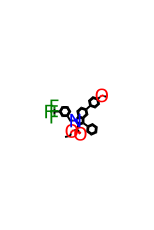 CCOC(=O)c1c(-c2ccccc2)c2cc(-c3ccc(OC)cc3)ccc2n1Cc1cccc(C(F)(F)F)c1